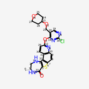 C[C@@H]1CNc2c(sc3ccc4nc(Oc5nc(Cl)ncc5COC5CCOCC5)ccc4c23)C(=O)N1